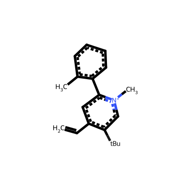 C=Cc1cc(-c2ccccc2C)[n+](C)cc1C(C)(C)C